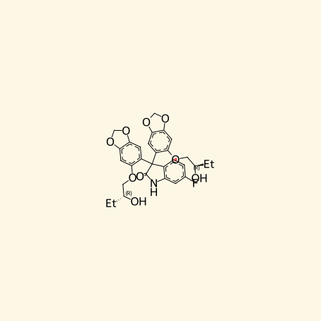 CC[C@@H](O)COc1cc2c(cc1C1(c3cc4c(cc3OC[C@H](O)CC)OCO4)C(=O)Nc3cc(F)ccc31)OCO2